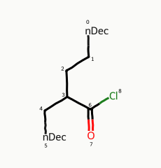 CCCCCCCCCCCCC(CCCCCCCCCCC)C(=O)Cl